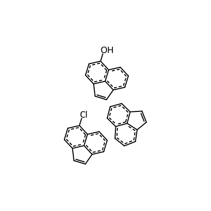 C1=Cc2cccc3cccc1c23.Clc1ccc2c3c(cccc13)C=C2.Oc1ccc2c3c(cccc13)C=C2